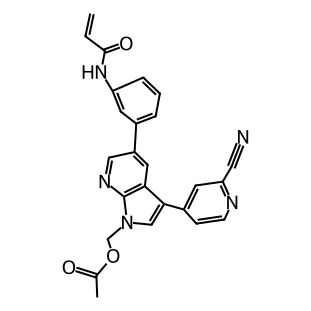 C=CC(=O)Nc1cccc(-c2cnc3c(c2)c(-c2ccnc(C#N)c2)cn3COC(C)=O)c1